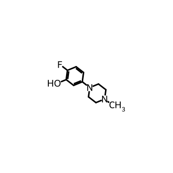 CN1CCN(c2ccc(F)c(O)c2)CC1